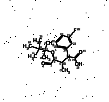 C[C@@H]([C@@H](C=O)O[Si](C)(C)C(C)(C)C)N(C(=O)O)c1cccc(F)c1